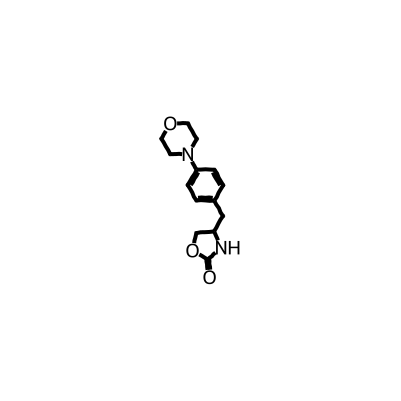 O=C1NC(Cc2ccc(N3CCOCC3)cc2)CO1